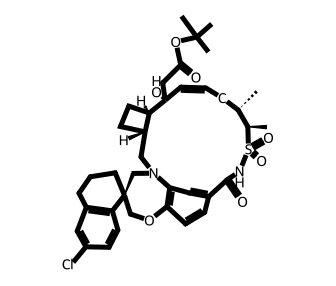 C[C@@H]1[C@@H](C)CC=C[C@](O)(CC(=O)OC(C)(C)C)[C@@H]2CC[C@H]2CN2C[C@@]3(CCCc4cc(Cl)ccc43)COc3ccc(cc32)C(=O)NS1(=O)=O